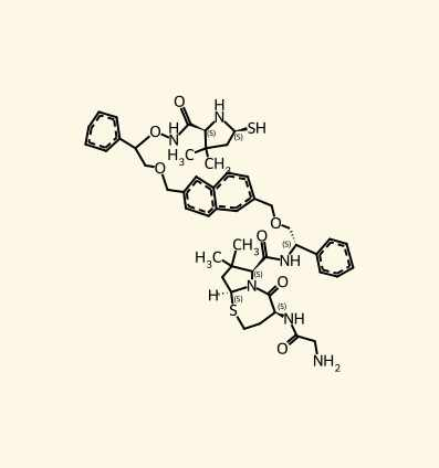 CC1(C)C[C@H](S)N[C@@H]1C(=O)NOC(COCc1ccc2cc(COC[C@@H](NC(=O)[C@H]3N4C(=O)[C@@H](NC(=O)CN)CCS[C@H]4CC3(C)C)c3ccccc3)ccc2c1)c1ccccc1